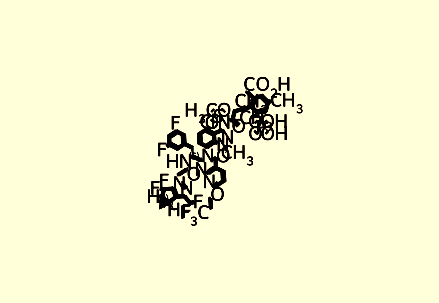 Cc1cc(CC(=O)O)c(C(C)(C)CC(=O)N(c2nn(C)c3c(-n4c([C@H](Cc5cc(F)cc(F)c5)NC(=O)Cn5nc(C(F)F)c6c5C(F)(F)[C@@H]5C[C@H]65)nc5nc(OCCC(F)(F)F)ccc5c4=O)ccc(Cl)c23)S(C)(=O)=O)c(OP(=O)(O)O)c1